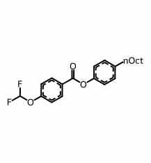 CCCCCCCCc1ccc(OC(=O)c2ccc(OC(F)F)cc2)cc1